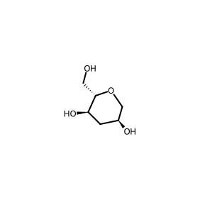 OC[C@@H]1OC[C@@H](O)C[C@H]1O